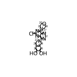 Oc1cc2c(cc1O)CN(c1ncnc3c(N4CCOCC4)nc(Cl)nc13)CC2